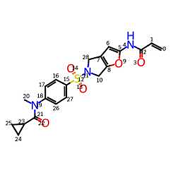 C=CC(=O)Nc1cc2c(o1)CN(S(=O)(=O)c1ccc(N(C)C(=O)C3CC3)cc1)C2